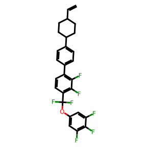 C=CC1CCC(c2ccc(-c3ccc(C(F)(F)Oc4cc(F)c(F)c(F)c4)c(F)c3F)cc2)CC1